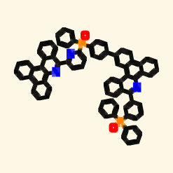 O=P(c1ccccc1)(c1ccccc1)c1cccc(-c2nc3c4ccccc4c4ccc(-c5ccc(P(=O)(c6ccccc6)c6cccc(-c7nc8c9ccccc9c9ccccc9c8c8ccccc78)n6)cc5)cc4c3c3ccccc23)c1